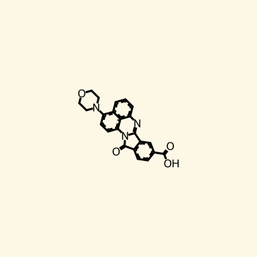 O=C(O)c1ccc2c(c1)C1=Nc3cccc4c(N5CCOCC5)ccc(c34)N1C2=O